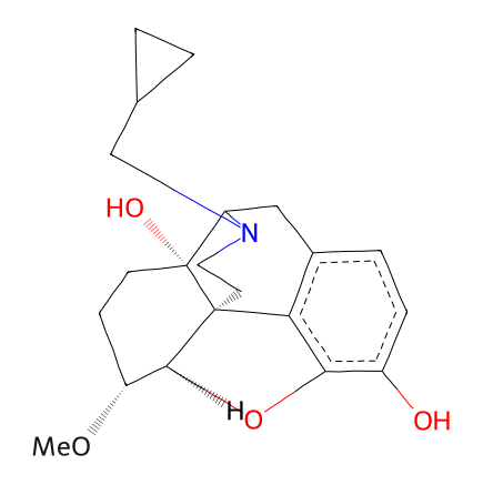 CO[C@@H]1CC[C@@]2(O)C3Cc4ccc(O)c5c4[C@@]2(CCN3CC2CC2)[C@H]1O5